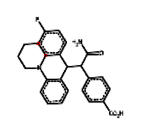 NC(=O)C(c1ccc(C(=O)O)cc1)C(c1ccc(F)cc1)c1ccccc1N1CCCCC1